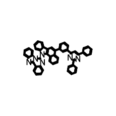 c1ccc(-c2cc(-c3cccc(-c4cc5c6ccccc6n(-c6nc7ccccc7c7nc8ccccc8n67)c5c5ccccc45)c3)nc(-c3ccccc3)n2)cc1